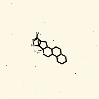 C[C@]12CCC3C4CCCCC4CCC3C1CC1C(C(F)(F)F)=NNC12O